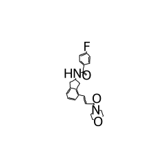 O=C(NC1Cc2cccc(C=CC(=O)N3CCOCC3)c2C1)c1ccc(F)cc1